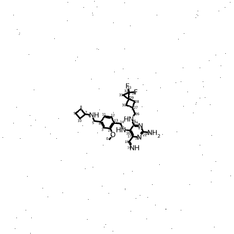 COc1cc(CNC2CCC2)ccc1CNc1c(C=N)nc(N)nc1NCC1CC2(C1)CC2(F)F